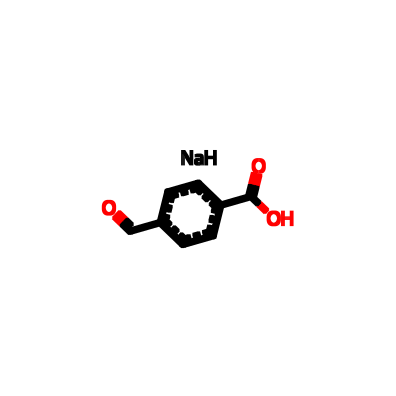 O=Cc1ccc(C(=O)O)cc1.[NaH]